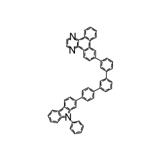 c1ccc(-n2c3ccccc3c3ccc(-c4ccc(-c5cccc(-c6cccc(-c7ccc8c(c7)c7ccccc7c7nccnc87)c6)c5)cc4)cc32)cc1